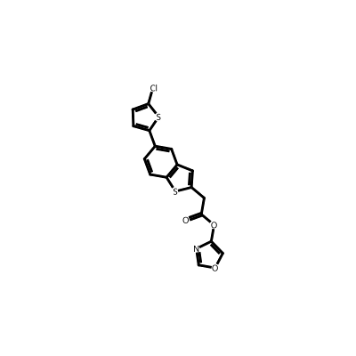 O=C(Cc1cc2cc(-c3ccc(Cl)s3)ccc2s1)Oc1cocn1